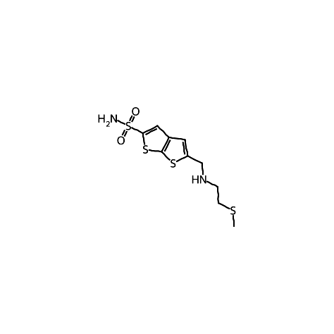 CSCCNCc1cc2cc(S(N)(=O)=O)sc2s1